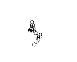 CC1CN(CC2CCCCC2)CC(C)N1C(=O)c1ccc(NS(=O)(=O)c2ccc3ccccc3n2)cc1